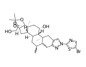 CC1(C)O[C@@H]2C[C@H]3[C@@H]4C[C@H](F)C5=Cc6nn(-c7ncc(Br)s7)cc6C[C@]5(C)[C@H]4[C@@H](O)C[C@]3(C)[C@]2(C(=O)CO)O1